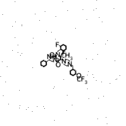 Cc1c(N2CCN(Cc3cccc(OC(F)(F)F)c3)CC2)c(=O)n(CC(N)c2ccccc2)c(=O)n1Cc1c(F)cccc1F